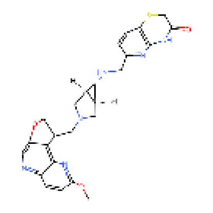 COc1ccc2ncc3c(c2n1)C(CN1C[C@@H]2[C@H](C1)[C@H]2NCc1ccc2c(n1)NC(=O)CS2)CO3